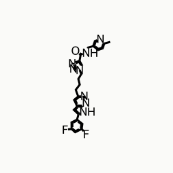 Cc1ccc(CNC(=O)c2cn(CCCCc3cc4cc(-c5cc(F)cc(F)c5)[nH]c4nn3)nn2)cn1